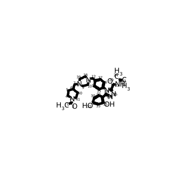 CC(=O)N1CCC(CN2CCN(Cc3ccc(-n4c(C(=O)NC(C)C)nnc4-c4ccc(O)cc4O)cc3)CC2)CC1